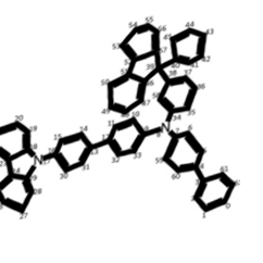 c1ccc(-c2ccc(N(c3ccc(-c4ccc(-n5c6ccccc6c6ccccc65)cc4)cc3)c3cccc(C4(c5ccccc5)c5ccccc5-c5ccccc54)c3)cc2)cc1